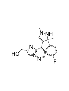 CN1C=C(c2ccnn3cc(CO)nc23)C(C)(c2ccc(F)cc2)N1